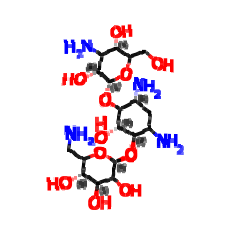 NCC1O[C@@H](O[C@@H]2C(N)C[C@@H](N)C(O[C@H]3OC(CO)[C@@H](O)C(N)[C@H]3O)[C@H]2O)C(O)[C@@H](O)[C@@H]1O